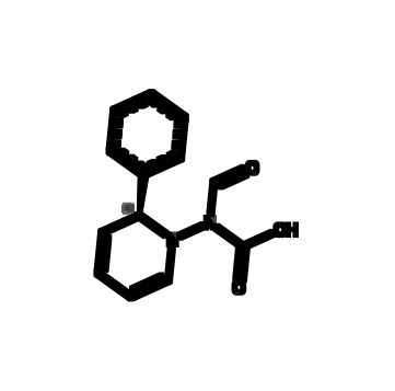 O=CN(C(=O)O)N1C=CC=C[C@H]1c1ccccc1